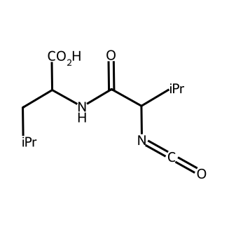 CC(C)CC(NC(=O)C(N=C=O)C(C)C)C(=O)O